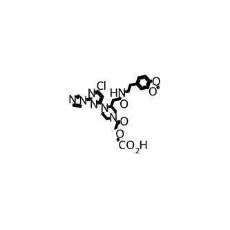 O=C(O)COCC(=O)N1CCN(c2cc(Cl)nc(-n3ccnc3)n2)C(CC(=O)NCCc2ccc3c(c2)OCO3)C1